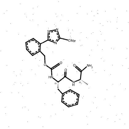 COc1nsc(-c2ccccc2COC(=O)N[C@@H](Cc2ccccc2)C(=O)N[C@@H](C)C(N)=O)n1